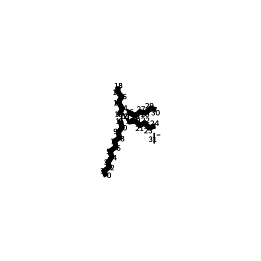 CCCCCCCCCCCC[N+](CCCCCC)(CCCCCC)CCCCCC.[I-]